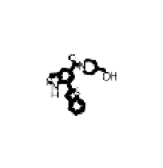 O=C(c1cc(-c2cc3ccccc3s2)c2[nH]ncc2c1)N1CCC(CO)CC1